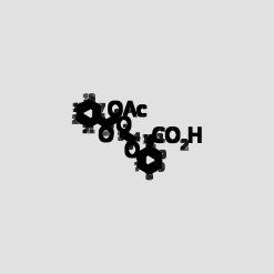 CC(=O)OC(OCCOc1ccccc1CC(=O)O)C(=O)c1ccccc1